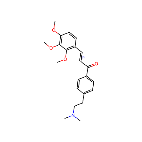 COc1ccc(/C=C/C(=O)c2ccc(CCN(C)C)cc2)c(OC)c1OC